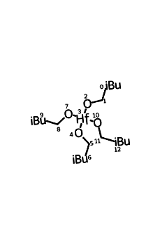 CCC(C)C[O][Hf]([O]CC(C)CC)([O]CC(C)CC)[O]CC(C)CC